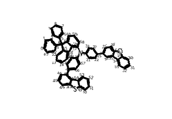 c1ccc(C2(c3ccccc3)c3ccccc3-c3c(N(c4ccc(-c5ccc6oc7ccccc7c6c5)cc4)c4ccc(-c5cccc6sc7ccccc7c56)cc4)cccc32)cc1